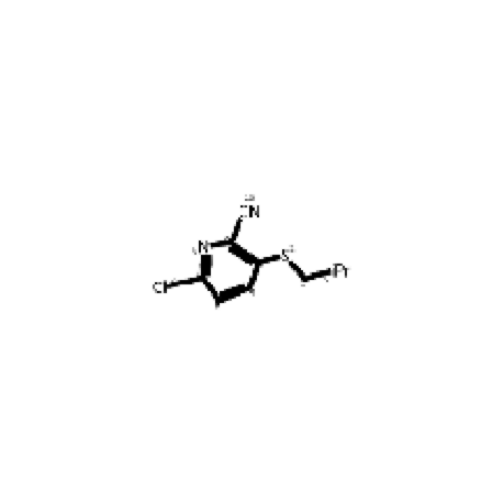 CC(C)CSc1ccc(Cl)nc1C#N